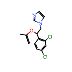 C=C(C)OC(Cn1ccnc1)c1ccc(Cl)cc1Cl